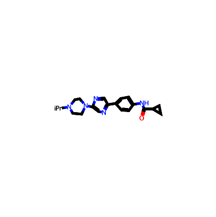 CC(C)N1CCN(c2cnc(-c3ccc(NC(=O)C4CC4)cc3)cn2)CC1